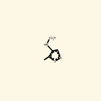 Cc1oncc1NC(=O)O